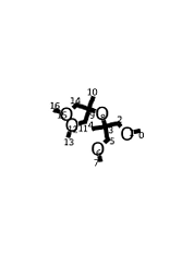 COCC(C)(COC)OC(C)(COC)COC